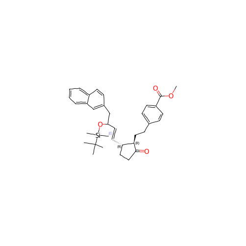 COC(=O)c1ccc(CC[C@H]2C(=O)CC[C@@H]2/C=C/C(Cc2ccc3ccccc3c2)O[Si](C)(C)C(C)(C)C)cc1